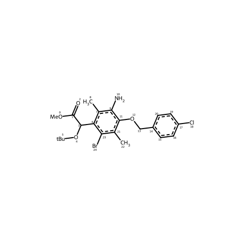 COC(=O)C(OC(C)(C)C)c1c(C)c(N)c(OCc2ccc(Cl)cc2)c(C)c1Br